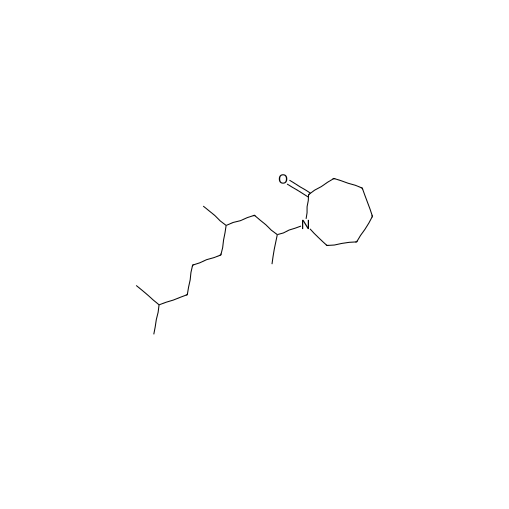 CC(C)CCCC(C)CC(C)N1CCCCCC1=O